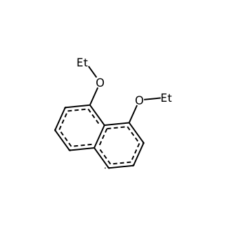 CCOc1cc[c]c2cccc(OCC)c12